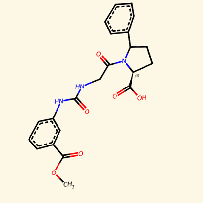 COC(=O)c1cccc(NC(=O)NCC(=O)N2C(c3ccccc3)CC[C@H]2C(=O)O)c1